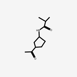 CC(=O)C1CCC(NC(=O)C(C)C)C1